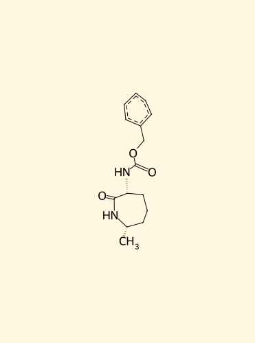 C[C@H]1CCC[C@@H](NC(=O)OCc2ccccc2)C(=O)N1